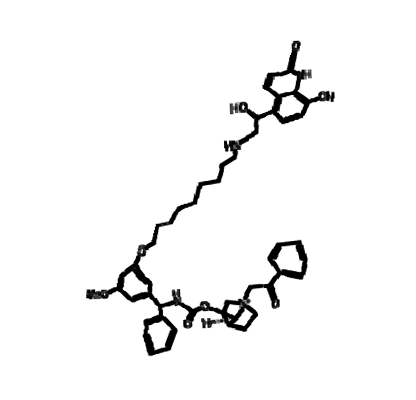 COc1cc(OCCCCCCCCCNCC(O)c2ccc(O)c3[nH]c(=O)ccc23)cc(C(NC(=O)O[C@H]2C[N+]3(CC(=O)c4ccccc4)CCC2CC3)c2ccccc2)c1